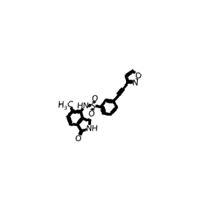 Cc1ccc2c(c1NS(=O)(=O)c1cccc(C#Cc3ccon3)c1)CNC2=O